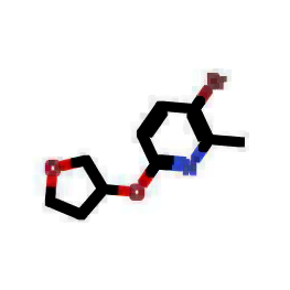 Cc1nc(OC2CCOC2)ccc1Br